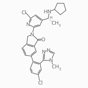 C[C@@H](NC1CCCC1)c1cc(Cl)nc(N2Cc3ccc(-c4ccc(Cl)cc4-c4nncn4C)cc3C2=O)c1